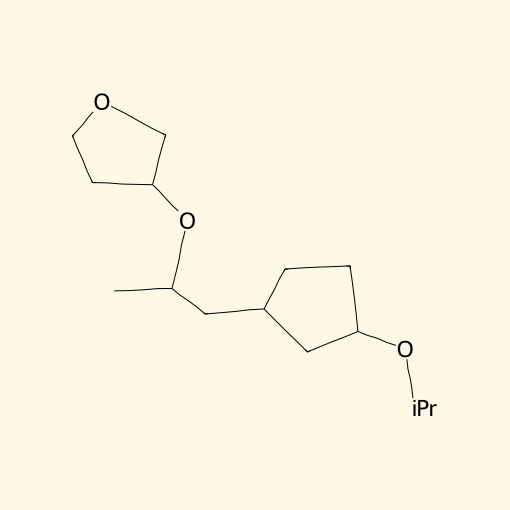 CC(C)OC1CCC(CC(C)OC2CCOC2)C1